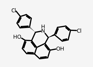 Oc1ccc2ccc(O)c3c2c1[C@H](c1ccc(Cl)cc1)N[C@H]3c1ccc(Cl)cc1